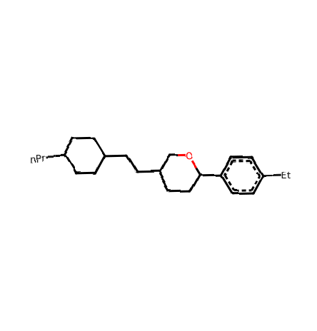 CCCC1CCC(CCC2CCC(c3ccc(CC)cc3)OC2)CC1